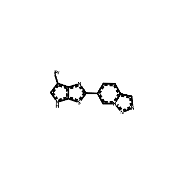 CC(C)c1c[nH]c2sc(-c3ccc4cnnn4c3)nc12